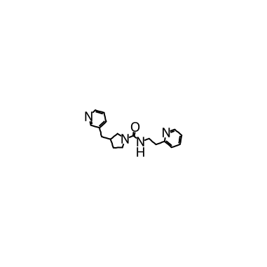 O=C(NCCc1ccccn1)N1CCC(Cc2cccnc2)C1